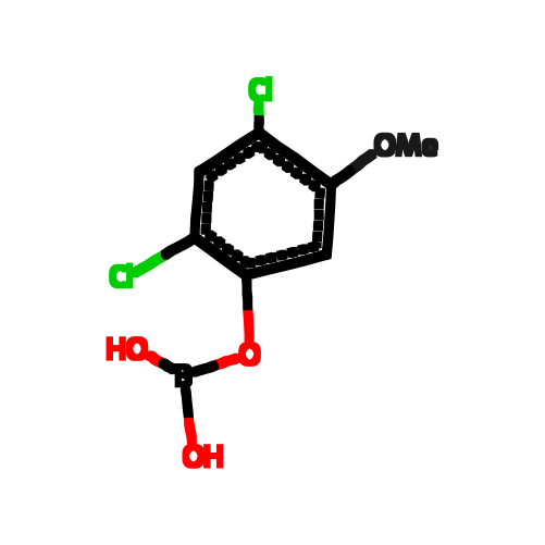 COc1cc(OB(O)O)c(Cl)cc1Cl